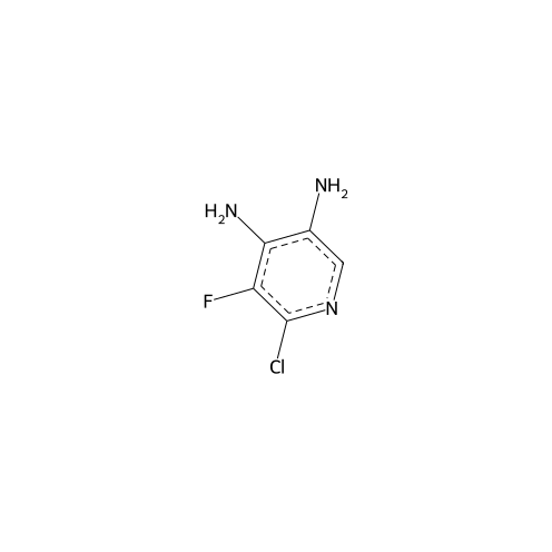 Nc1cnc(Cl)c(F)c1N